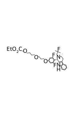 CCOC(=O)COCCCCOCCCOc1cc(F)c([C@@H]2c3[nH]c4ccccc4c3C[C@@H](C)N2CC(C)(C)F)c(F)c1